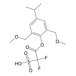 COCc1cc(C(C)C)cc(COC)c1OC(=O)C(F)(F)S(=O)(=O)O